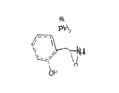 Oc1ccccc1C1NO1.P.[Ni]